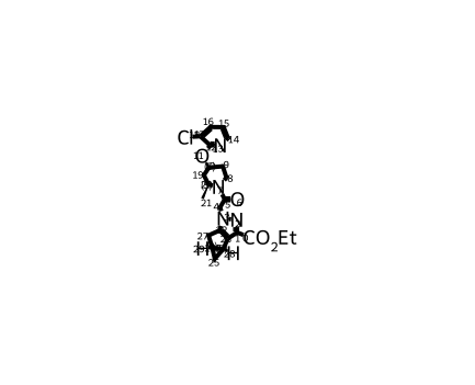 CCOC(=O)c1nn(CC(=O)N2CC[C@H](Oc3ncccc3Cl)C[C@@H]2C)c2c1[C@@H]1C[C@@H]1C2